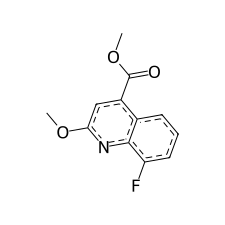 COC(=O)c1cc(OC)nc2c(F)cccc12